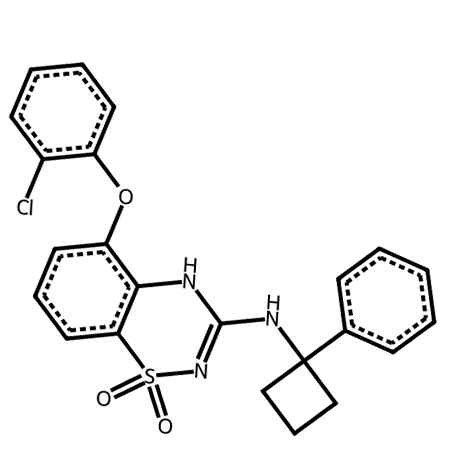 O=S1(=O)N=C(NC2(c3ccccc3)CCC2)Nc2c(Oc3ccccc3Cl)cccc21